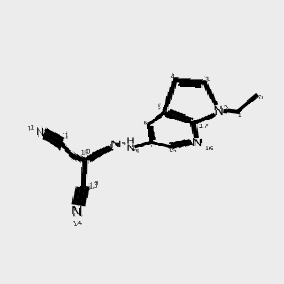 CCn1ccc2cc(NN=C(C#N)C#N)cnc21